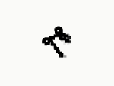 CCCCCCCCC1(CCCCC2(c3ccc(C(F)(F)F)c(F)c3)CCCCC2)CCCCC1